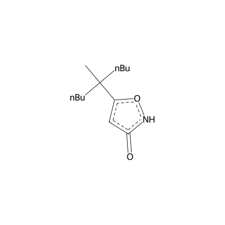 CCCCC(C)(CCCC)c1cc(=O)[nH]o1